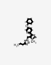 CCCc1nnn(Cc2c(-c3ccc(OC4CCCCC4)cn3)nnn2C)n1